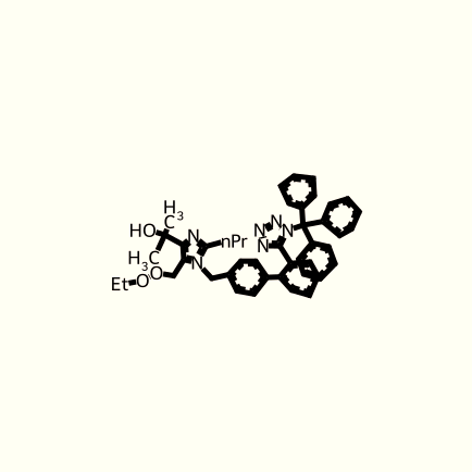 CCCc1nc(C(C)(C)O)c(COOCC)n1Cc1ccc(-c2ccccc2-c2nnnn2C(c2ccccc2)(c2ccccc2)c2ccccc2)cc1